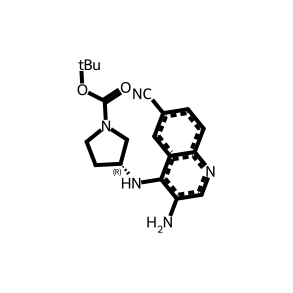 CC(C)(C)OC(=O)N1CC[C@@H](Nc2c(N)cnc3ccc(C#N)cc23)C1